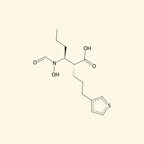 CCC[C@@H]([C@@H](CCCc1ccsc1)C(=O)O)N(O)C=O